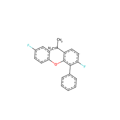 C=C(C)c1c[c]c(F)c(-c2ccccc2)c1Oc1ccc(F)cc1